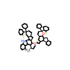 CC1C=COc2c3c(c4[nH]c5ccccc5c4c21)C1=CC(c2ccccc2)(c2ccccc2F)C=CC1=C3.Fc1ccccc1C1(c2ccccc2)C=Cc2c(c3c(c4ccsc24)-c2ccccc2C3)O1